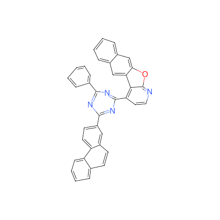 c1ccc(-c2nc(-c3ccc4c(ccc5ccccc54)c3)nc(-c3ccnc4oc5cc6ccccc6cc5c34)n2)cc1